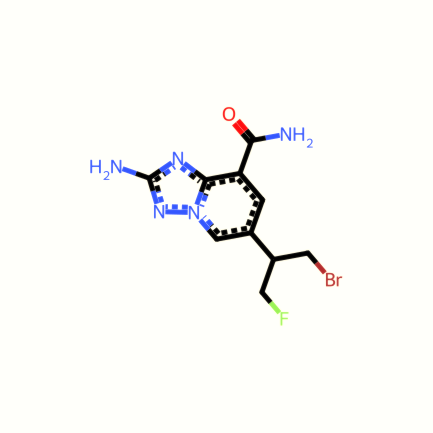 NC(=O)c1cc(C(CF)CBr)cn2nc(N)nc12